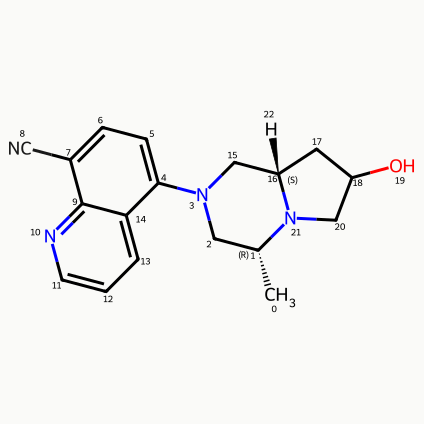 C[C@@H]1CN(c2ccc(C#N)c3ncccc23)C[C@@H]2CC(O)CN21